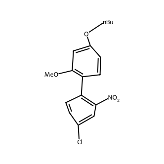 CCCCOc1ccc(-c2ccc(Cl)cc2[N+](=O)[O-])c(OC)c1